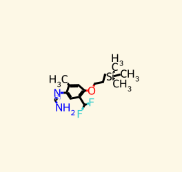 Cc1cc(OCCC[Si](C)(C)C)c(C(F)F)cc1/N=C\N